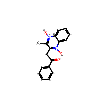 CC(=O)c1c(CC(=O)c2ccccc2)[n+]([O-])c2ccccc2[n+]1[O-]